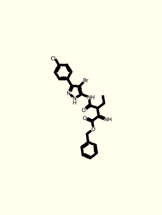 CCC(C(=N)C(=O)OCc1ccccc1)C(=O)Nc1[nH]nc(-c2ccc(Cl)cc2)c1Br